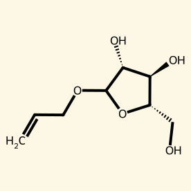 C=CCOC1O[C@@H](CO)[C@H](O)[C@H]1O